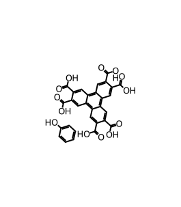 O=C(O)c1cc2c3cc(C(=O)O)c(C(=O)O)cc3c3cc(C(=O)O)c(C(=O)O)cc3c2cc1C(=O)O.Oc1ccccc1